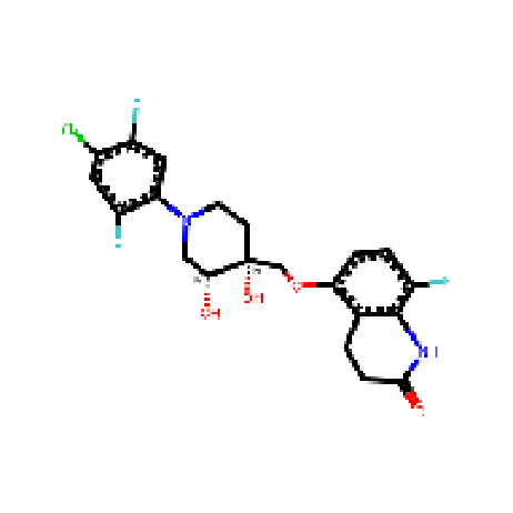 O=C1CCc2c(OC[C@]3(O)CCN(c4cc(F)c(Cl)cc4F)C[C@H]3O)ccc(F)c2N1